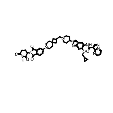 O=C1CCC(N2C(=O)c3ccc(N4CCC5(CC4)CC(CN4CCC(n6cc7cc(NC(=O)c8cnn9cccnc89)c(OCC8CC8)cc7n6)CC4)C5)cc3C2=O)C(=O)N1